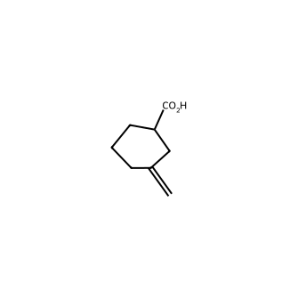 C=C1CCCC(C(=O)O)C1